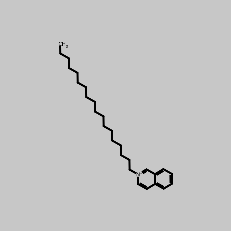 CCCCCCCCCCCCCCCCCC[n+]1ccc2ccccc2c1